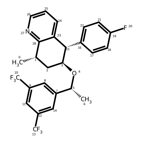 C[C@H]1C[C@H](O[C@H](C)c2cc(C(F)(F)F)cc(C(F)(F)F)c2)[C@@H](c2ccc(F)cc2)c2cccnc21